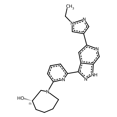 CCn1cc(-c2cc3c(-c4cccc(N5CCCC[C@H](O)C5)n4)n[nH]c3cn2)cn1